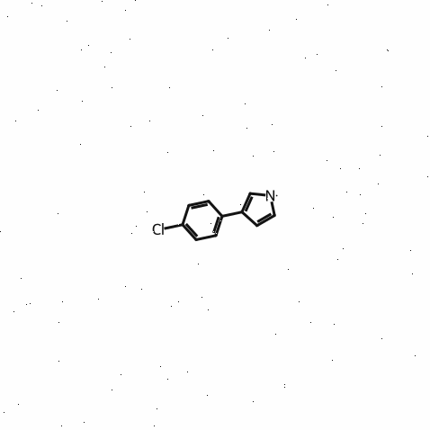 Clc1ccc(C2=C[N]C=C2)cc1